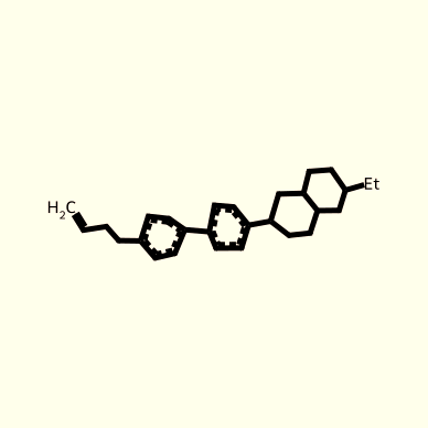 C=CCCc1ccc(-c2ccc(C3CCC4CC(CC)CCC4C3)cc2)cc1